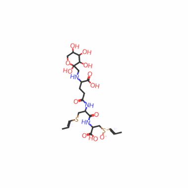 C/C=C/SCC(NC(=O)CCC(NCC1(O)OCC(O)C(O)C1O)C(=O)O)C(=O)NC(C[S+]([O-])/C=C/C)C(=O)O